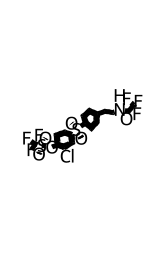 O=C(NCCc1ccc(S(=O)(=O)c2ccc(OS(=O)(=O)C(F)(F)F)c(Cl)c2)cc1)C(F)(F)F